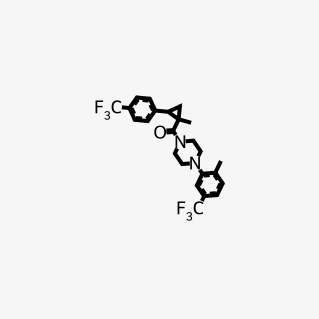 Cc1ccc(C(F)(F)F)cc1N1CCN(C(=O)C2(C)CC2c2ccc(C(F)(F)F)cc2)CC1